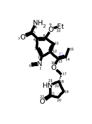 C=Nc1cc(C(N)=O)c(OCC)cc1/C(=C\C)OC[C@@H]1CCC(=O)N1